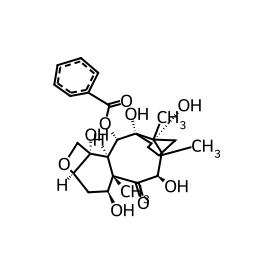 CC1[C@@H](O)C[C@@]2(O)[C@@H](OC(=O)c3ccccc3)[C@@H]3[C@]4(O)CO[C@@H]4C[C@H](O)[C@@]3(C)C(=O)[C@H](O)C13CC32C